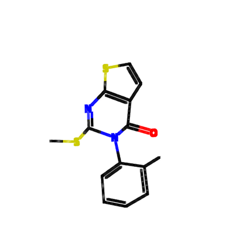 CSc1nc2sccc2c(=O)n1-c1ccccc1C